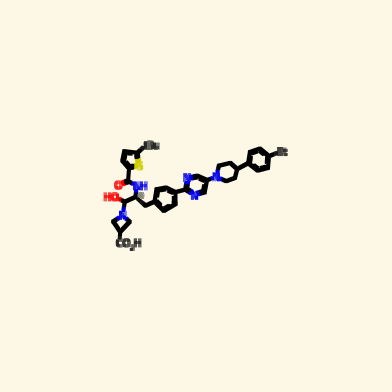 CCc1ccc(C2CCN(c3cnc(-c4ccc(C[C@H](NC(=O)c5ccc(C(C)(C)C)s5)C(O)N5CC(C(=O)O)C5)cc4)nc3)CC2)cc1